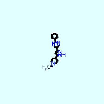 FC(F)(F)CN1CCC(c2cc(-c3cnc(-c4ccccc4)nc3)n[nH]2)CC1